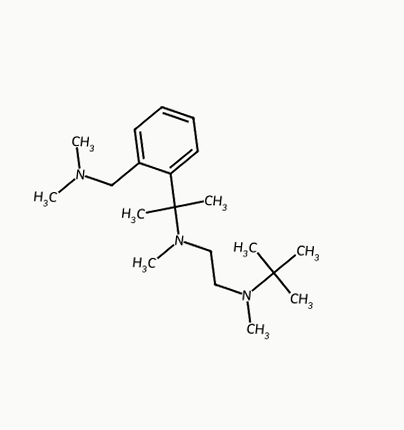 CN(C)Cc1ccccc1C(C)(C)N(C)CCN(C)C(C)(C)C